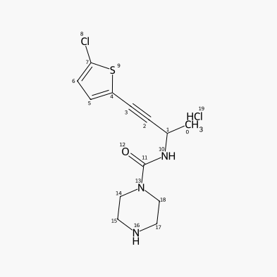 CC(C#Cc1ccc(Cl)s1)NC(=O)N1CCNCC1.Cl